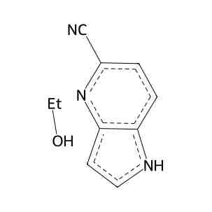 CCO.N#Cc1ccc2[nH]ccc2n1